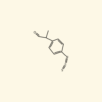 CC([C]=O)c1ccc(N=C=S)cc1